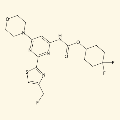 O=C(Nc1cc(N2CCOCC2)nc(-c2nc(CF)cs2)n1)OC1CCC(F)(F)CC1